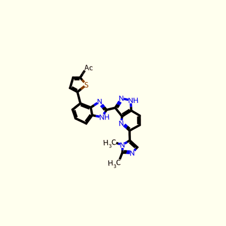 CC(=O)c1ccc(-c2cccc3[nH]c(-c4n[nH]c5ccc(-c6cnc(C)n6C)nc45)nc23)s1